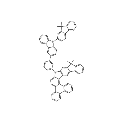 CC1(C)c2ccccc2-c2ccc(-n3c4ccccc4c4cc(-c5cccc(-n6c7cc8c(cc7c7c9c%10ccccc%10c%10ccccc%10c9ccc76)-c6ccccc6C8(C)C)c5)ccc43)cc21